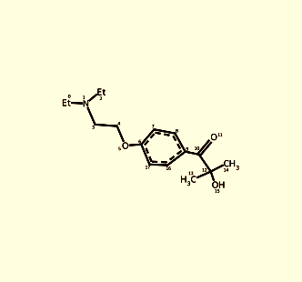 CCN(CC)CCOc1ccc(C(=O)C(C)(C)O)cc1